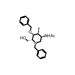 CC(=O)N[C@H]1CN(Cc2ccccc2)[C@H](CO)[C@@H](OCc2ccccc2)[C@H]1F